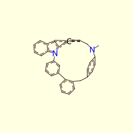 CN1Cc2ccc3c(c2)c2ccccc2n3-c2cccc(c2)-c2ccccc2Cc2ccc1cc2